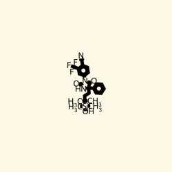 CC(C)(CCC1(c2ccccc2)NC(=O)N(c2ccc(C#N)c(C(F)(F)F)c2)C1=O)[Si](C)(C)O